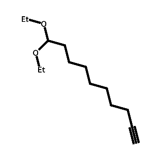 C#CCCCCCCCC(OCC)OCC